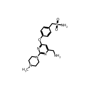 CN1CCN(c2nc(CN)cc(Oc3ccc(CS(N)(=O)=O)cc3)n2)CC1